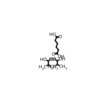 CC(C)C(O)O.CC(C)C(O)O.O=C(O)CCCCC(=O)O